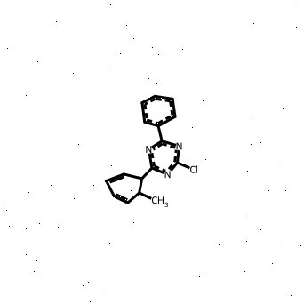 CC1C=CC=CC1c1nc(Cl)nc(-c2ccccc2)n1